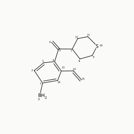 Bc1ccc(C(=C)C2CCSCC2)c(C=C)c1